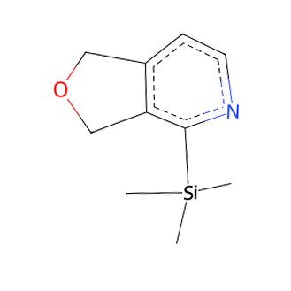 C[Si](C)(C)c1nccc2c1COC2